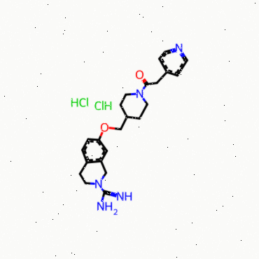 Cl.Cl.N=C(N)N1CCc2ccc(OCC3CCN(C(=O)Cc4ccncc4)CC3)cc2C1